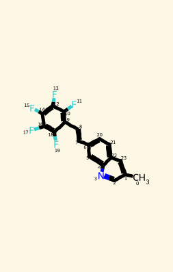 Cc1cnc2cc(C=Cc3c(F)c(F)c(F)c(F)c3F)ccc2c1